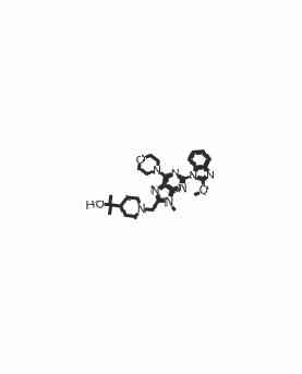 COc1nc2ccccc2n1-c1nc(N2CCOCC2)c2nc(CN3CCC(C(C)(C)O)CC3)n(C)c2n1